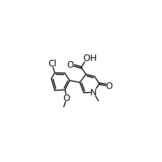 COc1ccc(Cl)cc1-c1cn(C)c(=O)cc1C(=O)O